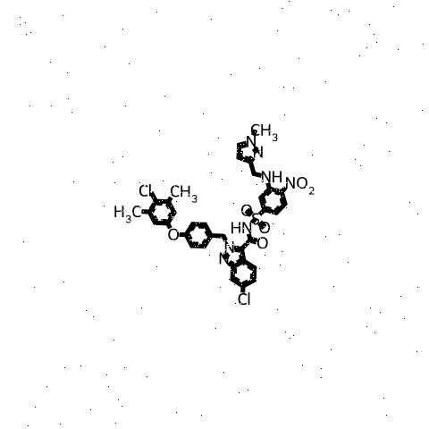 Cc1cc(Oc2ccc(Cn3nc4cc(Cl)ccc4c3C(=O)NS(=O)(=O)c3ccc([N+](=O)[O-])c(NCc4ccn(C)n4)c3)cc2)cc(C)c1Cl